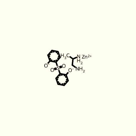 CC(N)CN.O=S(=O)(c1ccccc1[O-])c1ccccc1[O-].[Zn+2]